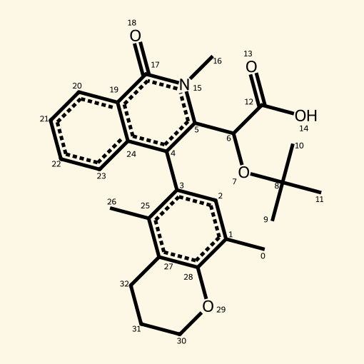 Cc1cc(-c2c(C(OC(C)(C)C)C(=O)O)n(C)c(=O)c3ccccc23)c(C)c2c1OCCC2